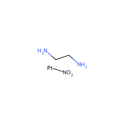 NCCN.O=[N+]([O-])[Pt]